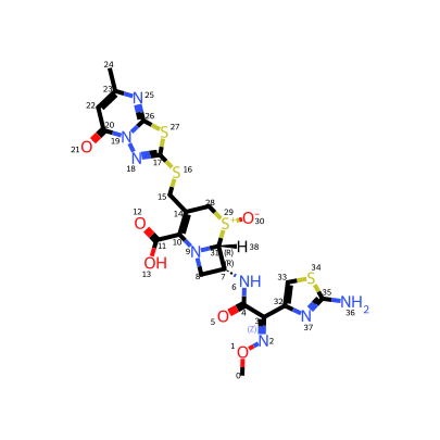 CO/N=C(\C(=O)N[C@@H]1CN2C(C(=O)O)=C(CSc3nn4c(=O)cc(C)nc4s3)C[S+]([O-])[C@H]12)c1csc(N)n1